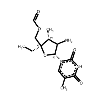 CC[C@@]1(COC=O)O[C@@H](n2cc(C)c(=O)[nH]c2=O)C(N)[C@H]1C